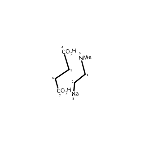 CNC[CH2][Na].O=C(O)CCC(=O)O